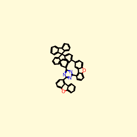 c1ccc(-c2nc(-c3cccc4oc5ccccc5c34)nc(-c3cccc4oc5ccc(-c6ccc7c(c6)-c6ccccc6C76c7ccccc7-c7ccccc76)cc5c34)n2)cc1